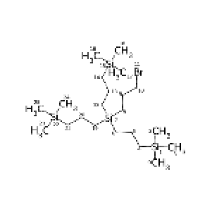 C[Si](C)(C)CCC[Si](CCCBr)(CCC[Si](C)(C)C)CCC[Si](C)(C)C